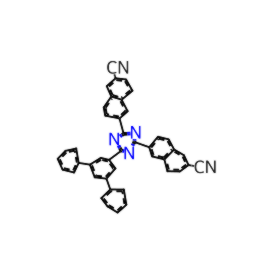 N#Cc1ccc2cc(-c3nc(-c4cc(-c5ccccc5)cc(-c5ccccc5)c4)nc(-c4ccc5cc(C#N)ccc5c4)n3)ccc2c1